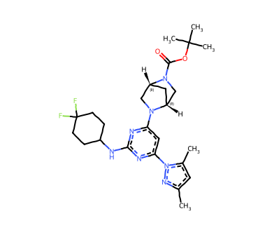 Cc1cc(C)n(-c2cc(N3C[C@H]4C[C@@H]3CN4C(=O)OC(C)(C)C)nc(NC3CCC(F)(F)CC3)n2)n1